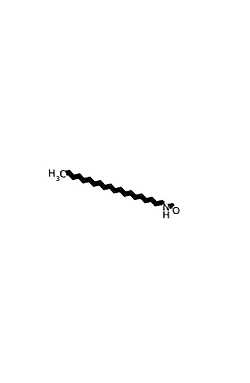 CCCCCCCCCCCCCCCCCCCCNC=O